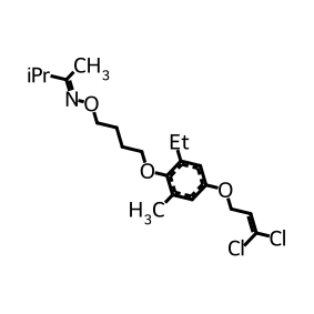 CCc1cc(OCC=C(Cl)Cl)cc(C)c1OCCCCON=C(C)C(C)C